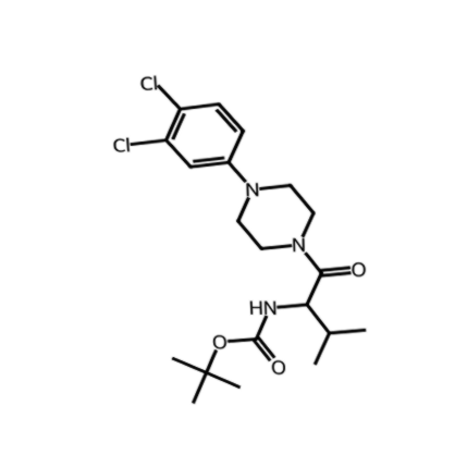 CC(C)C(NC(=O)OC(C)(C)C)C(=O)N1CCN(c2ccc(Cl)c(Cl)c2)CC1